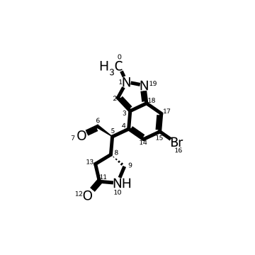 Cn1cc2c([C@H](C=O)[C@@H]3CNC(=O)C3)cc(Br)cc2n1